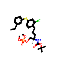 CCc1cccc(Sc2ccc(CCC[C@](C)(COP(=O)(OC)OC)NC(=O)OC(C)(C)C)c(Cl)c2)c1